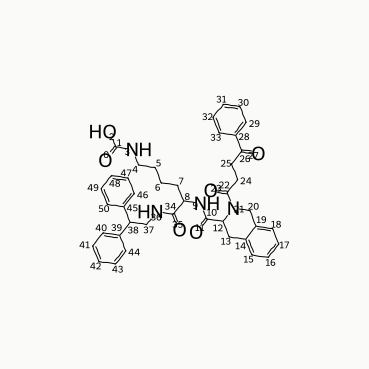 O=C(O)NCCCCC(NC(=O)C1Cc2ccccc2CN1C(=O)CCC(=O)c1ccccc1)C(=O)NCC(c1ccccc1)c1ccccc1